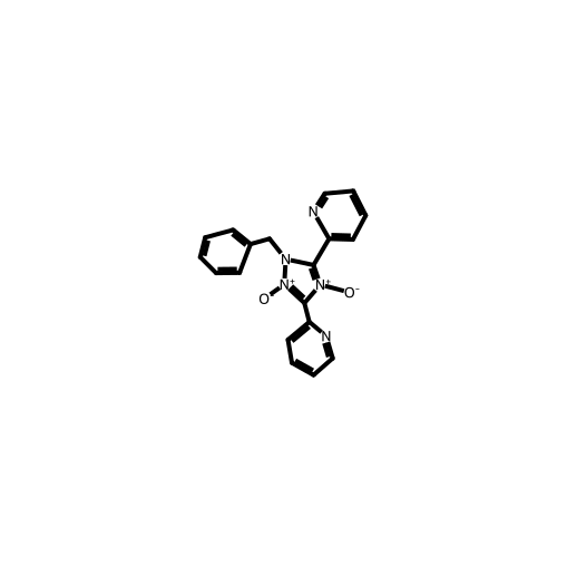 [O-][n+]1c(-c2ccccn2)n(Cc2ccccc2)[n+]([O-])c1-c1ccccn1